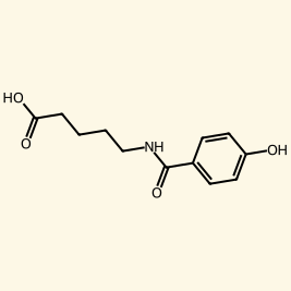 O=C(O)CCCCNC(=O)c1ccc(O)cc1